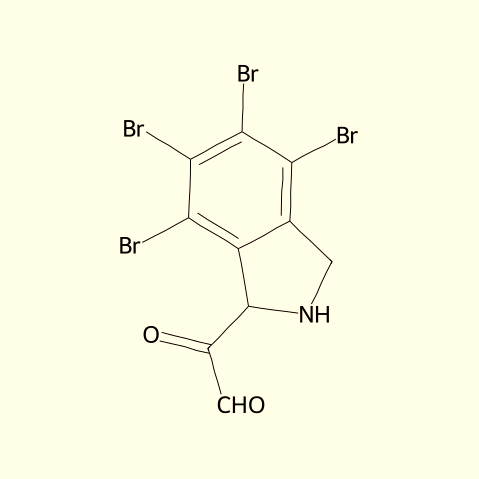 O=CC(=O)C1NCc2c(Br)c(Br)c(Br)c(Br)c21